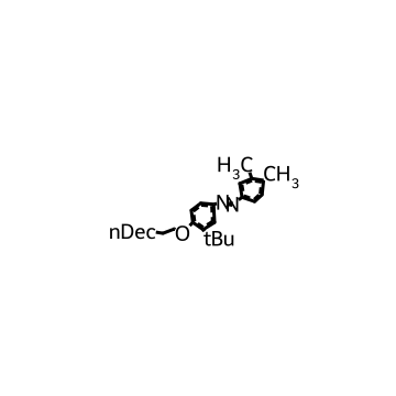 CCCCCCCCCCCCOc1ccc(/N=N/c2ccc(C)c(C)c2)cc1C(C)(C)C